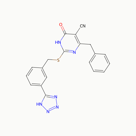 N#Cc1c(Cc2ccccc2)nc(SCc2cccc(-c3nnn[nH]3)c2)[nH]c1=O